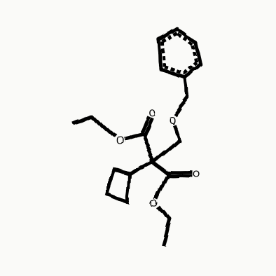 CCOC(=O)C(COCc1ccccc1)(C(=O)OCC)C1CCC1